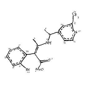 COC(=O)/C(=C(/C)NC(C)c1ccnc(C(F)(F)F)c1)c1ccccc1Br